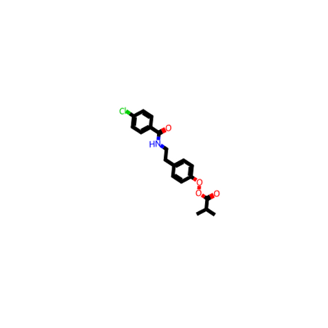 CC(C)C(=O)OOc1ccc(CCNC(=O)c2ccc(Cl)cc2)cc1